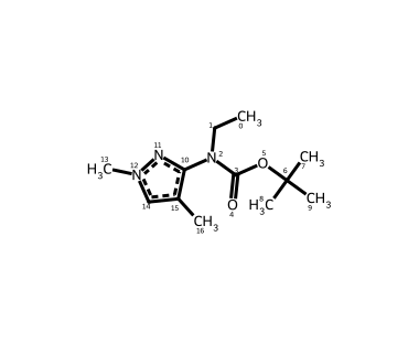 CCN(C(=O)OC(C)(C)C)c1nn(C)cc1C